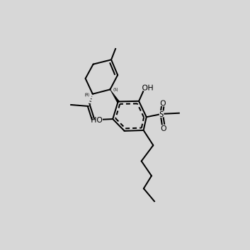 C=C(C)[C@@H]1CCC(C)=C[C@H]1c1c(O)cc(CCCCC)c(S(C)(=O)=O)c1O